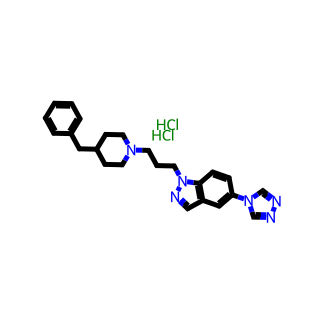 Cl.Cl.c1ccc(CC2CCN(CCCn3ncc4cc(-n5cnnc5)ccc43)CC2)cc1